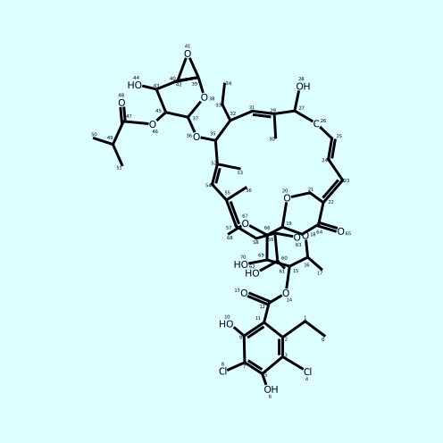 CCc1c(Cl)c(O)c(Cl)c(O)c1C(=O)OC1C(C)OC(OC/C2=C\C=C\CC(O)/C(C)=C/C(CC)C(OC3OC4(C)OC4C(O)C3OC(=O)C(C)C)/C(C)=C/C(C)=C/CC(C(C)O)OC2=O)C(OC)C1O